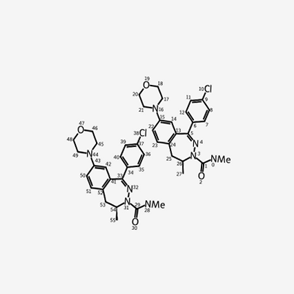 CNC(=O)N1N=C(c2ccc(Cl)cc2)c2cc(N3CCOCC3)ccc2CC1C.CNC(=O)N1N=C(c2ccc(Cl)cc2)c2cc(N3CCOCC3)ccc2C[C@@H]1C